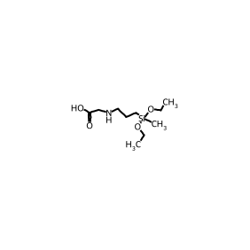 CCO[Si](C)(CCCNCC(=O)O)OCC